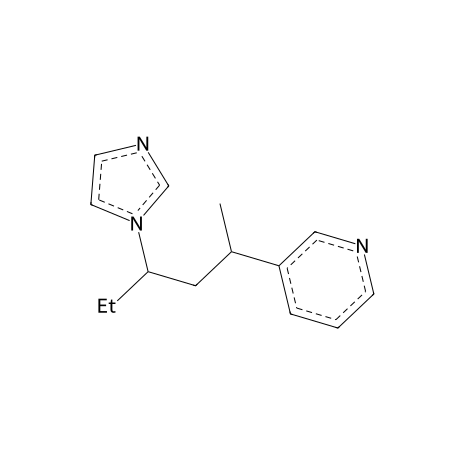 CCC(CC(C)c1cccnc1)n1ccnc1